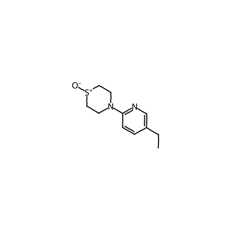 CCc1ccc(N2CC[S+]([O-])CC2)nc1